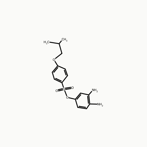 CC(C)COc1ccc(S(=O)(=O)Oc2ccc(N)c(N)c2)cc1